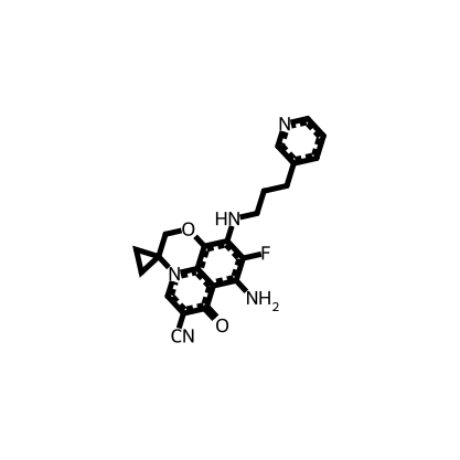 N#Cc1cn2c3c(c(NCCCc4cccnc4)c(F)c(N)c3c1=O)OCC21CC1